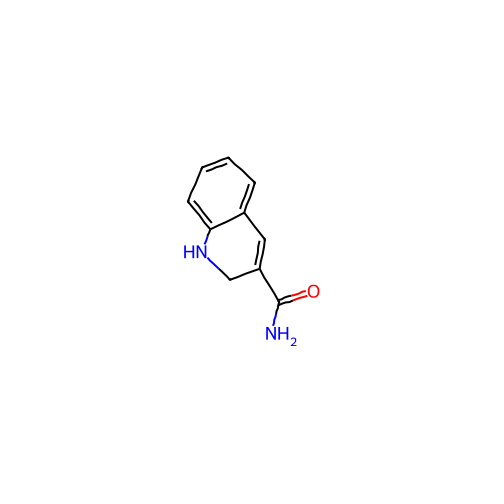 NC(=O)C1=Cc2ccccc2NC1